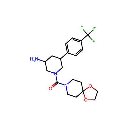 NC1CC(c2ccc(C(F)(F)F)cc2)CN(C(=O)N2CCC3(CC2)OCCO3)C1